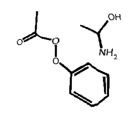 CC(=O)OOc1ccccc1.CC(N)O